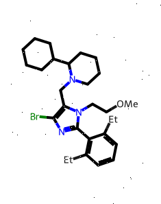 CCc1cccc(CC)c1-c1nc(Br)c(CN2CCCCC2C2CCCCC2)n1CCOC